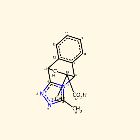 Cc1nnc2n1C1c3ccccc3C2CC1(C)C(=O)O